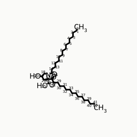 CCCCCCCCCCCCCCCC(=O)N1CC(O)C[C@]1(C(=O)O)C(=O)CCCCCCCCCCCCCCC